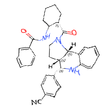 N#Cc1ccc([C@H]2Nc3ccccc3[C@@H]3[C@H]2CCN3C(=O)[C@H]2CCCCC2NC(=O)c2ccccc2)cc1